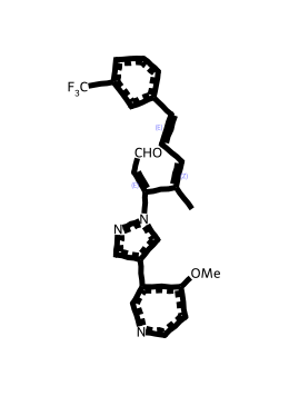 COc1ccncc1-c1cnn(C(=C/C=O)/C(C)=C\C=C\c2cccc(C(F)(F)F)c2)c1